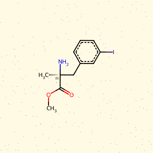 COC(=O)[C@@](C)(N)Cc1cccc(I)c1